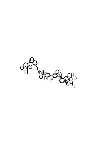 Cc1cc2c(N3CCOc4cc(-c5ccc(C(=O)NCC#Cc6ccc7occ(C8CCC(=O)NC8=O)c7c6)nc5)c(F)cc43)cccc2n(C)c1=O